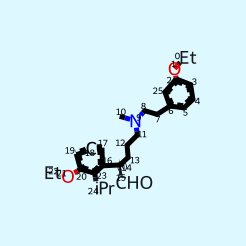 CCOc1cccc(CCN(C)CCC[C@@H](C=O)c2cccc(OCC)c2C(C)C)c1